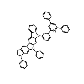 c1ccc(-c2cc(-c3ccccc3)nc(-c3cccc(-n4c5ccccc5c5cc6c7cc8ccn(-c9ccccc9)c8cc7n(-c7ccccc7)c6cc54)c3)c2)cc1